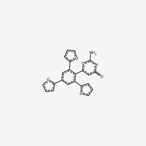 Nc1nc(=O)cc(-c2c(-c3ccco3)cc(-c3ccco3)cc2-c2ccco2)o1